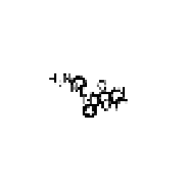 Cc1cc(C(=O)c2cn(Cc3cccc(N)n3)c3ccccc3c2=O)cnc1C